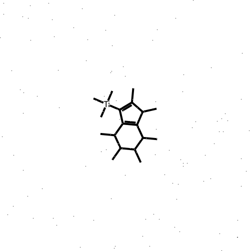 CC1=[C]([Ti]([CH3])([CH3])[CH3])C2=C(C1C)C(C)C(C)C(C)C2C